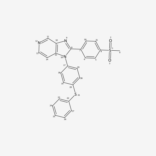 CS(=O)(=O)c1ccc(-c2nc3cnccc3n2-c2ccc(Sc3ccccc3)cc2)cc1